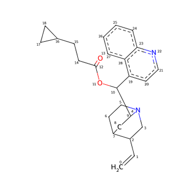 C=CC1CN2CCC1CC2C(OC(=O)CCC1CC1)c1ccnc2ccccc12